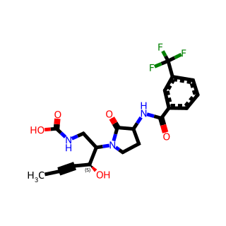 CC#C[C@H](O)C(CNC(=O)O)N1CCC(NC(=O)c2cccc(C(F)(F)F)c2)C1=O